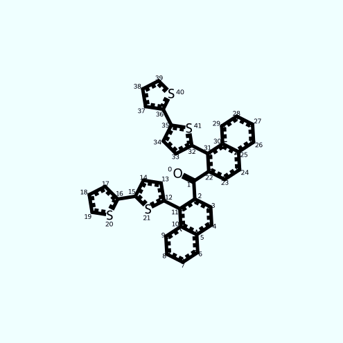 O=C(c1ccc2ccccc2c1-c1ccc(-c2cccs2)s1)c1ccc2ccccc2c1-c1ccc(-c2cccs2)s1